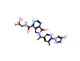 Cc1cc(C(C)N2Cc3c(ccnc3C(=O)NC[C@@H](C)O)C2=O)cnc1-n1cc(Cl)cn1